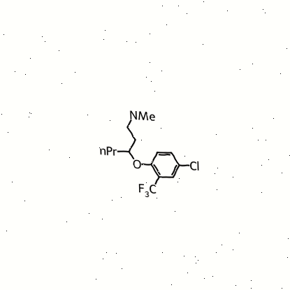 CCCC(CCNC)Oc1ccc(Cl)cc1C(F)(F)F